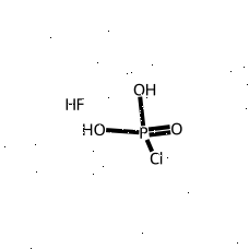 F.O=P(O)(O)Cl